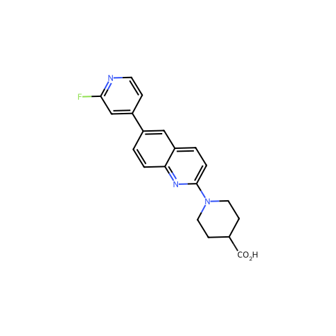 O=C(O)C1CCN(c2ccc3cc(-c4ccnc(F)c4)ccc3n2)CC1